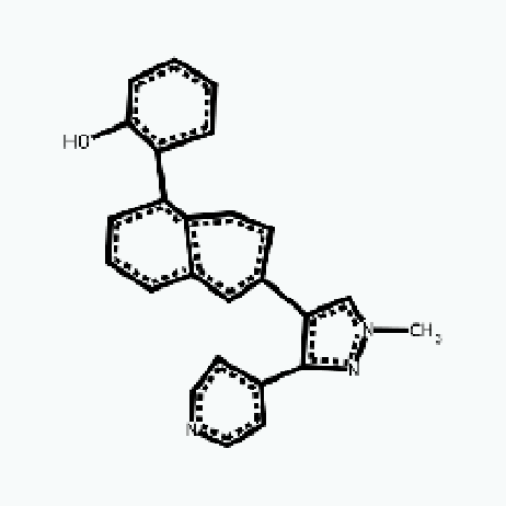 Cn1cc(-c2ccc3c(-c4ccccc4O)cccc3c2)c(-c2ccncc2)n1